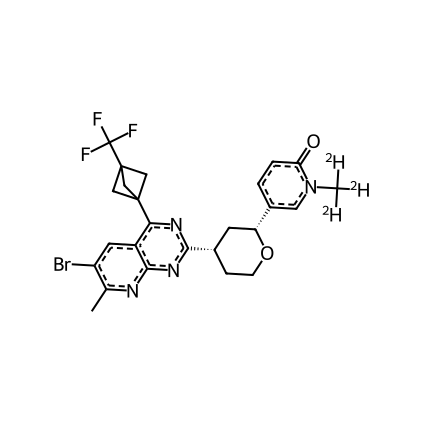 [2H]C([2H])([2H])n1cc([C@H]2C[C@@H](c3nc(C45CC(C(F)(F)F)(C4)C5)c4cc(Br)c(C)nc4n3)CCO2)ccc1=O